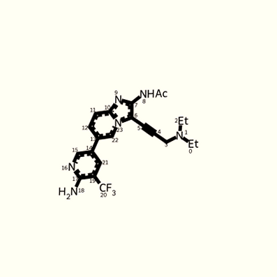 CCN(CC)CC#Cc1c(NC(C)=O)nc2ccc(-c3cnc(N)c(C(F)(F)F)c3)cn12